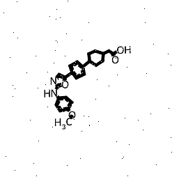 COc1ccc(Nc2ncc(-c3ccc(C4CCC(CC(=O)O)CC4)cc3)o2)cc1